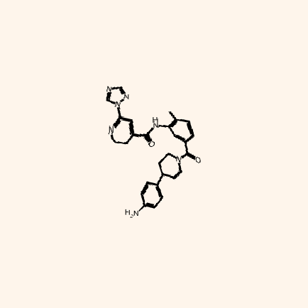 Cc1ccc(C(=O)N2CCC(c3ccc(N)cc3)CC2)cc1NC(=O)C1=CC(n2cncn2)=NCC1